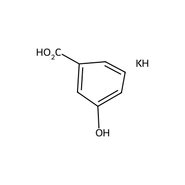 O=C(O)c1cccc(O)c1.[KH]